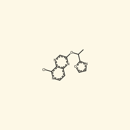 CC(Oc1cnc2c(Cl)nccc2n1)c1ncco1